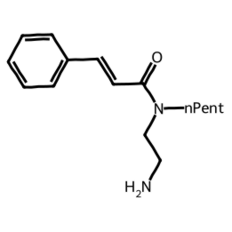 CCCCCN(CCN)C(=O)/C=C/c1ccccc1